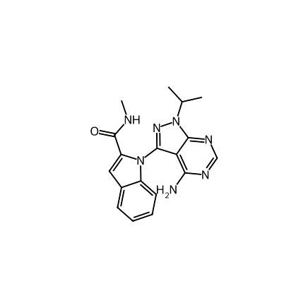 CNC(=O)c1cc2ccccc2n1-c1nn(C(C)C)c2ncnc(N)c12